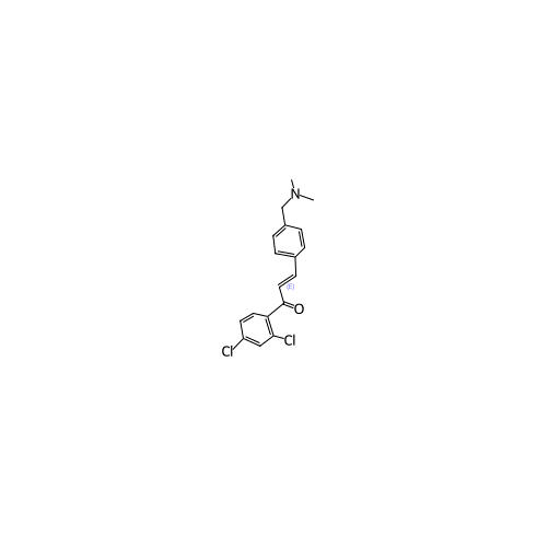 CN(C)Cc1ccc(/C=C/C(=O)c2ccc(Cl)cc2Cl)cc1